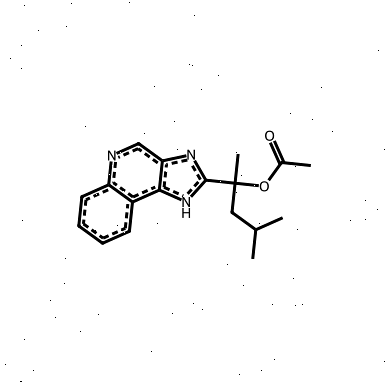 CC(=O)OC(C)(CC(C)C)c1nc2cnc3ccccc3c2[nH]1